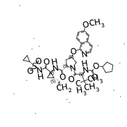 C=C[C@@H]1C[C@]1(NC(=O)[C@@H]1C[C@@H](Oc2nccc3cc(OC)ccc23)CN1C(=O)[C@@H](NC(=O)OC1CCCC1)C(C)(C)C)C(=O)NS(=O)(=O)C1CC1